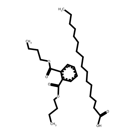 CCCCCCCCCCCCCCCC(=O)O.CCCCOC(=O)c1ccccc1C(=O)OCCCC